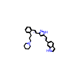 C(=C\c1cc(/C=C/c2ccccc2CCCN2CCCCC2)n[nH]1)/c1ccc2cc[nH]c2c1